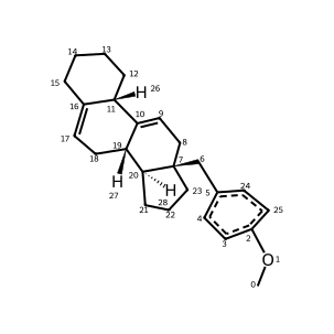 COc1ccc(C[C@]23CC=C4[C@H]5CCCCC5=CC[C@H]4[C@@H]2CCC3)cc1